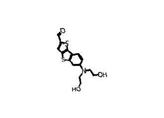 O=Cc1cc2sc3cc(N(CCO)CCO)ccc3c2s1